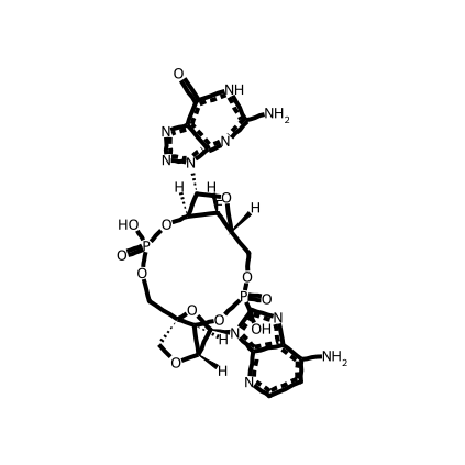 Nc1nc2c(nnn2[C@@H]2O[C@@H]3COP(=O)(O)O[C@H]4[C@H]5OC[C@]4(COP(=O)(O)O[C@@H]2[C@@H]3F)O[C@H]5n2cnc3c(N)ccnc32)c(=O)[nH]1